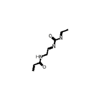 C=CC(=O)NCC=NC(=O)N=CC